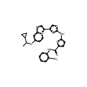 CC(Oc1ccn2c(-c3csc(Nc4ccc(C(=O)Nc5ccccc5N)s4)n3)cnc2c1)C1CC1